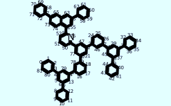 c1ccc(-c2cc(-c3ccccc3)cc(-c3cccc(-c4cc(-c5cccc(-c6cc(-c7ccccc7)cc(-c7ccccc7)c6)c5)cc(-c5cccc(-c6cc(-c7ccccc7)cc7cc(-c8ccccc8)ccc67)n5)c4)c3)c2)cc1